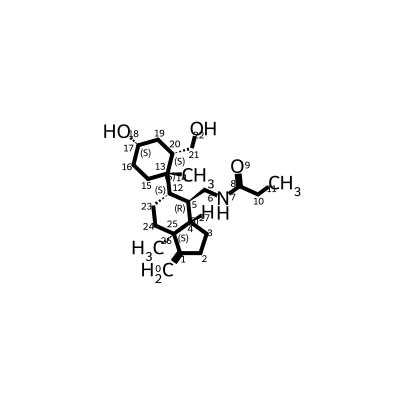 C=C1CC[C@H]2[C@H](CNC(=O)CC)[C@@H]([C@]3(C)CC[C@H](O)C[C@@H]3CO)CC[C@]12C